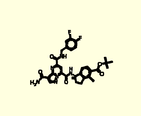 Cc1c(C(=O)OC(C)(C)C)ccc2c1CC[C@@H]2NC(=O)c1cc(C(=O)NCc2ccc(F)c(F)c2)nc2c(C(N)=O)cnn12